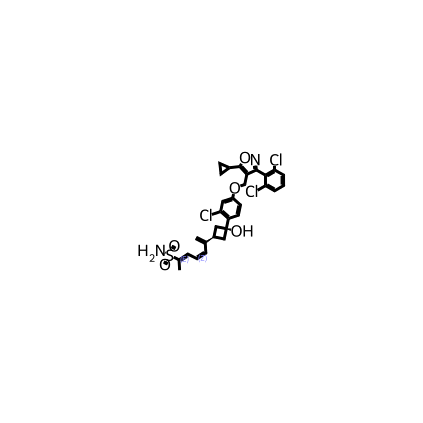 C=C(/C=C\C=C(/C)S(N)(=O)=O)[C@H]1C[C@](O)(c2ccc(OCc3c(-c4c(Cl)cccc4Cl)noc3C3CC3)cc2Cl)C1